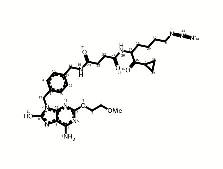 COCCOc1nc(N)c2nc(O)n(Cc3ccc(CNC(=O)CCC(=O)NC(CCCCN=[N+]=[N-])C(=O)C4CC4)cc3)c2n1